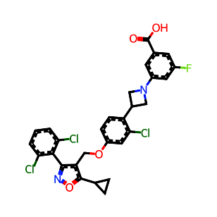 O=C(O)c1cc(F)cc(N2CC(c3ccc(OCc4c(-c5c(Cl)cccc5Cl)noc4C4CC4)cc3Cl)C2)c1